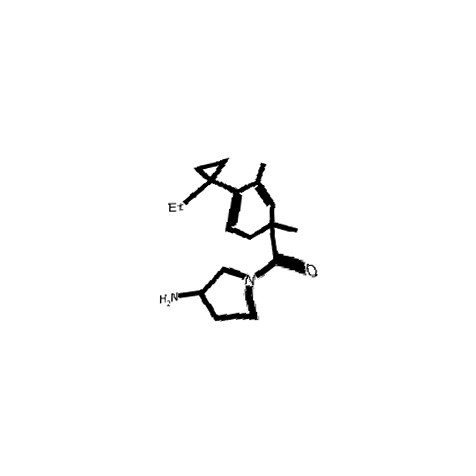 CCC1(C2=CCC(C)(C(=O)N3CCC(N)C3)C=C2C)CC1